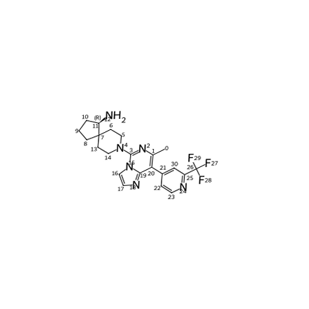 Cc1nc(N2CCC3(CCC[C@H]3N)CC2)n2ccnc2c1-c1ccnc(C(F)(F)F)c1